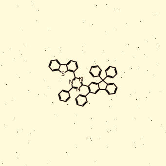 c1ccc(-c2nc(-c3cc4c(cc3-c3ccccc3)-c3ccccc3C4(c3ccccc3)c3ccccc3)nc(-c3cccc4c3sc3ccccc34)n2)cc1